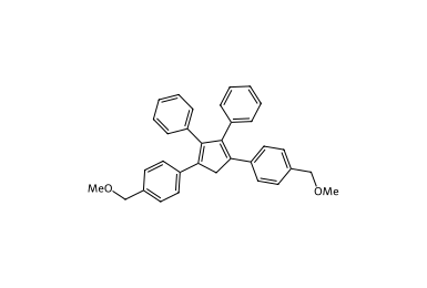 COCc1ccc(C2=C(c3ccccc3)C(c3ccccc3)=C(c3ccc(COC)cc3)C2)cc1